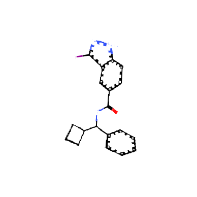 O=C(NC(c1ccccc1)C1CCC1)c1ccc2[nH]nc(I)c2c1